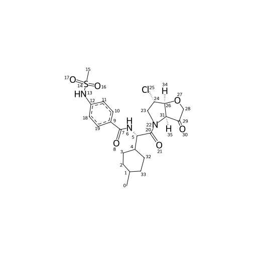 CC1CCC([C@H](NC(=O)c2ccc(NS(C)(=O)=O)cc2)C(=O)N2C[C@H](Cl)[C@H]3OCC(=O)[C@H]32)CC1